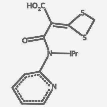 CC(C)N(C(=O)C(C(=O)O)=C1SCS1)c1ccccn1